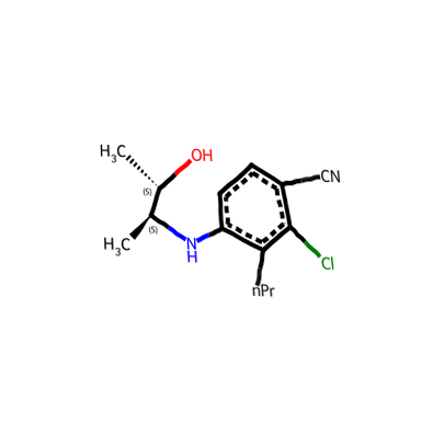 CCCc1c(N[C@@H](C)[C@H](C)O)ccc(C#N)c1Cl